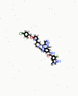 CCn1cncc1Cn1c(CN2CC=C(c3cccc(OCc4ccc(Cl)cc4F)n3)CC2)nc2cc(NC(=O)c3cc(F)c4[nH]nc(C)c4c3)ccc21